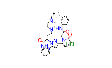 CN1CCN(CCC(C(N)=O)n2nc(-c3cccc(=O)n3CC(=O)Nc3cccc(C(F)(F)F)c3)cc2-c2ccccc2)CC1.Cl